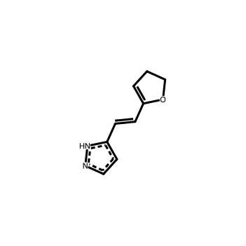 C1=C(/C=C/c2ccn[nH]2)OCC1